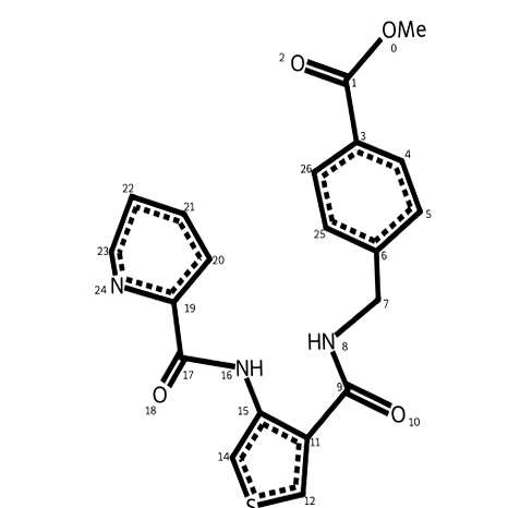 COC(=O)c1ccc(CNC(=O)c2cscc2NC(=O)c2ccccn2)cc1